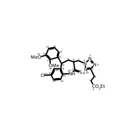 CCOC(=O)CCc1nnn(CC2CC(c3cccc(OC)c3OC)c3cc(Cl)ccc3NC2=S)n1